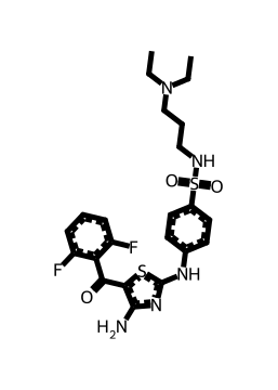 CCN(CC)CCCNS(=O)(=O)c1ccc(Nc2nc(N)c(C(=O)c3c(F)cccc3F)s2)cc1